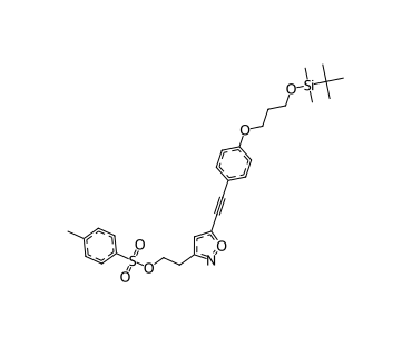 Cc1ccc(S(=O)(=O)OCCc2cc(C#Cc3ccc(OCCCO[Si](C)(C)C(C)(C)C)cc3)on2)cc1